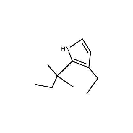 CCc1cc[nH]c1C(C)(C)CC